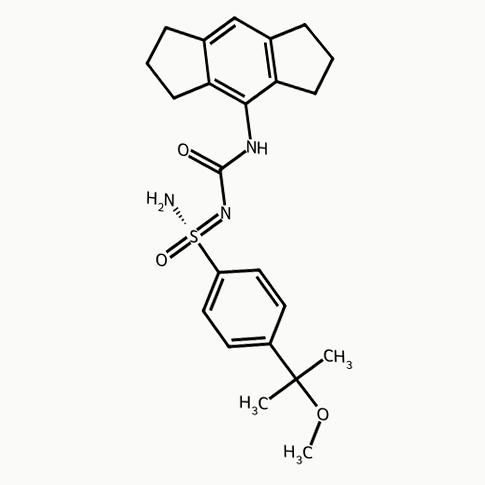 COC(C)(C)c1ccc([S@@](N)(=O)=NC(=O)Nc2c3c(cc4c2CCC4)CCC3)cc1